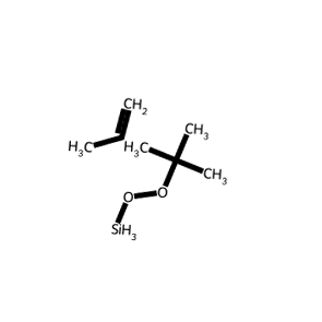 C=CC.CC(C)(C)OO[SiH3]